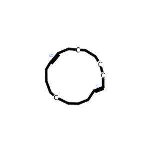 C1=C\CCCCCCC/C=C/CCCCCC/1